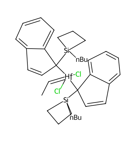 C[CH]=[Hf]([Cl])([Cl])([C]1([Si]2(CCCC)CCC2)C=Cc2ccccc21)[C]1([Si]2(CCCC)CCC2)C=Cc2ccccc21